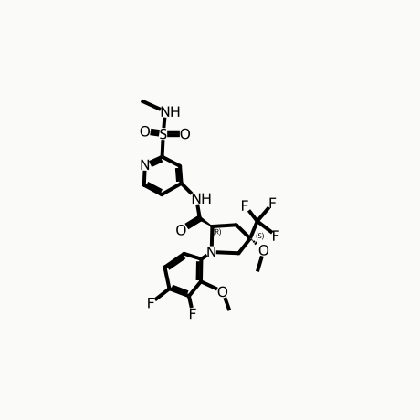 CNS(=O)(=O)c1cc(NC(=O)[C@H]2C[C@@](OC)(C(F)(F)F)CN2c2ccc(F)c(F)c2OC)ccn1